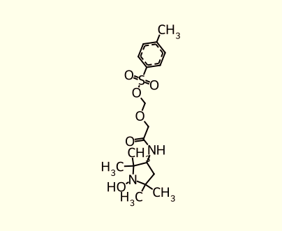 Cc1ccc(S(=O)(=O)OCOCC(=O)NC2CC(C)(C)N(O)C2(C)C)cc1